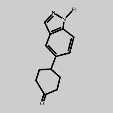 CCn1ncc2cc(C3CCC(=O)CC3)ccc21